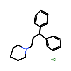 Cl.c1ccc(C(CCN2CCCCC2)c2ccccc2)cc1